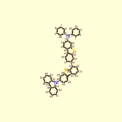 c1ccc(N(c2ccccc2)c2ccc3c(c2)sc2cc(-c4cccc5c4sc4cc(-n6c7ccccc7c7ccccc76)ccc45)ccc23)cc1